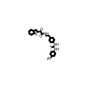 CC(C)c1ccc(NC(=S)Nc2ccc(CCNC(=O)C(=O)c3cc4ccccc4s3)cc2)cc1